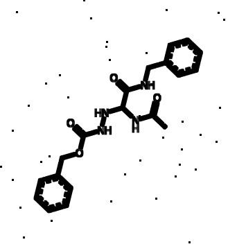 CC(=O)NC(NNC(=O)OCc1ccccc1)C(=O)NCc1ccccc1